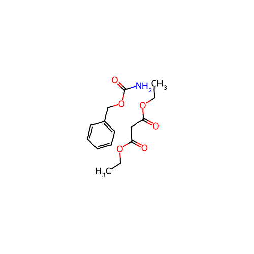 CCOC(=O)CC(=O)OCC.NC(=O)OCc1ccccc1